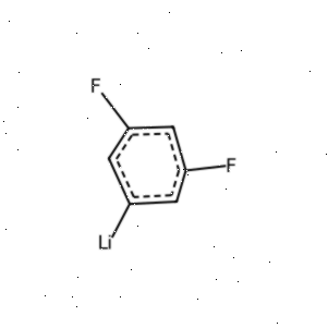 [Li][c]1cc(F)cc(F)c1